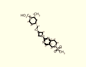 C[C@@H]1C[C@H](COC2CN(c3ncc4c(n3)CCN(S(C)(=O)=O)C4)C2)CCN1C(=O)O